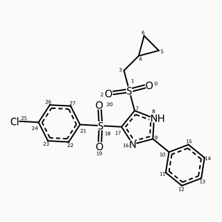 O=S(=O)(CC1CC1)c1[nH]c(-c2ccccc2)nc1S(=O)(=O)c1ccc(Cl)cc1